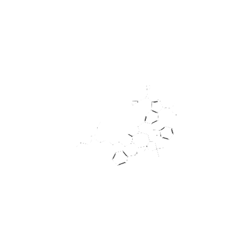 CCOP(=O)(COCCCN1C(=O)N(Cc2ccc3c(c2)c(N(B2CO2)B2CO2)nn3B(C)O)[C@H](Cc2ccccc2)[C@@]2(O)OC(C)(C)O[C@]2(O)[C@H]1Cc1ccccc1)OCC